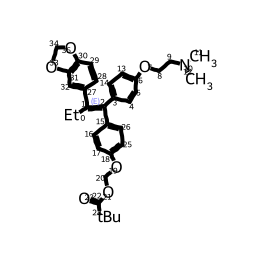 CC/C(=C(/c1ccc(OCCN(C)C)cc1)c1ccc(OCOC(=O)C(C)(C)C)cc1)c1ccc2c(c1)OCO2